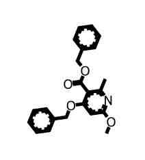 COc1cc(OCc2ccccc2)c(C(=O)OCc2ccccc2)c(C)n1